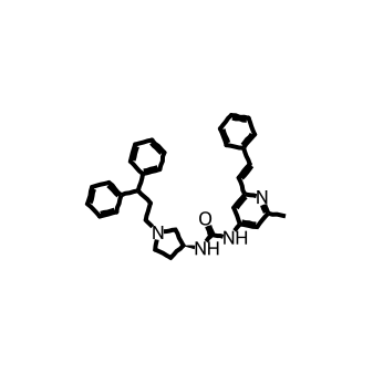 Cc1cc(NC(=O)N[C@H]2CCN(CCC(c3ccccc3)c3ccccc3)C2)cc(C=Cc2ccccc2)n1